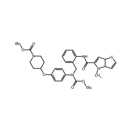 CN1C(C(=O)Nc2ccccc2CN(C(=O)OC(C)(C)C)c2ccc(OC3CCN(C(=O)OC(C)(C)C)CC3)cc2)=CC2SC=CC21